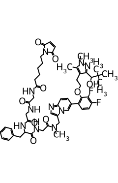 Cc1c(CCOc2c(-c3ccc4ncc(CN(C)C(=O)CNC(=O)C(Cc5ccccc5)NC(=O)CNC(=O)CNC(=O)CCCCCN5C(=O)C=CC5=O)n4c3)ccc(F)c2F)c(C(O)C(C)(C)C)nn1C